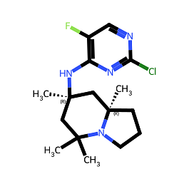 CC1(C)C[C@@](C)(Nc2nc(Cl)ncc2F)C[C@@]2(C)CCCN12